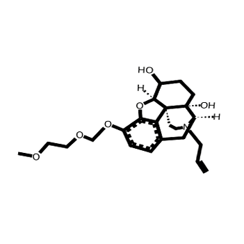 C=CCN1CC[C@]23c4c5ccc(OCOCCOC)c4O[C@H]2C(O)CC[C@@]3(O)[C@H]1C5